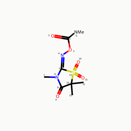 CNC(=O)ON=C1N(C)C(=O)C(C)(C)S1(=O)=O